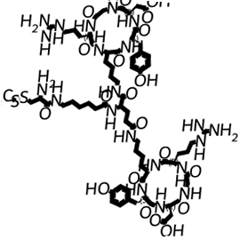 CSSCC(N)C(=O)NCCCCCC(=O)NC(CCC(=O)NCCCCC1NC(=O)[C@@H](CCCNC(=N)N)NC(=O)CNC(=O)[C@@H](CC(=O)O)NC(=O)[C@H](Cc2ccc(O)cc2)NC1=O)C(=O)NCCCCC1NC(=O)[C@@H](CCCNC(=N)N)NC(=O)CNC(=O)[C@@H](CC(=O)O)NC(=O)[C@H](Cc2ccc(O)cc2)NC1=O